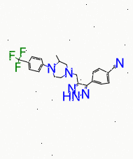 CC1CN(Cc2n[nH]nc2-c2ccc(C#N)cc2)CCN1c1ccc(C(F)(F)F)cc1